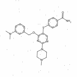 CN1CCN(c2ncc(Sc3ccc(C(N)=O)cc3)c(OCc3cccc(N(C)C)c3)n2)CC1